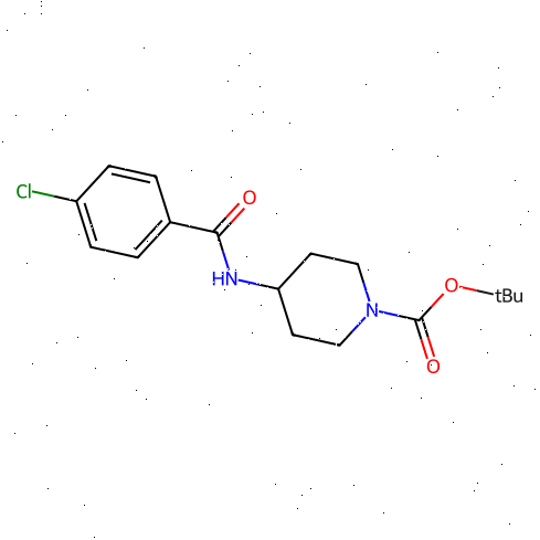 CC(C)(C)OC(=O)N1CCC(NC(=O)c2ccc(Cl)cc2)CC1